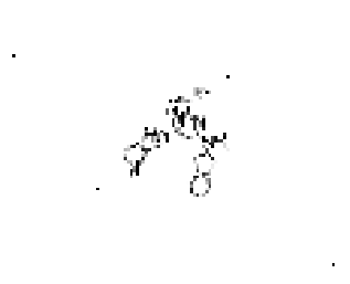 Brc1cnn2c(NCc3cccnc3)cc(NC3Cc4ccccc4C3)nc12